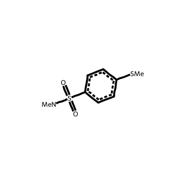 [CH2]NS(=O)(=O)c1ccc(SC)cc1